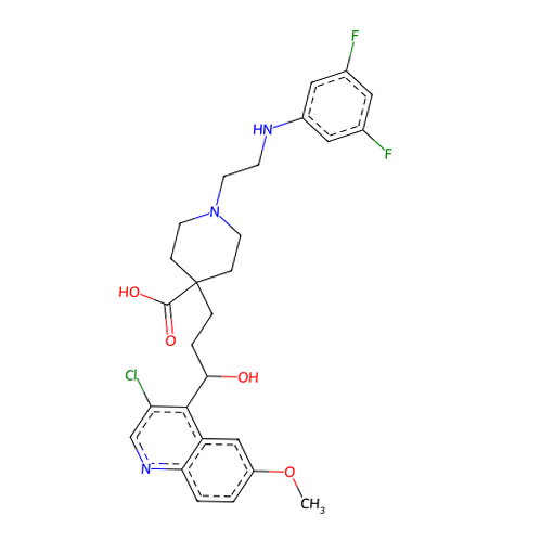 COc1ccc2ncc(Cl)c(C(O)CCC3(C(=O)O)CCN(CCNc4cc(F)cc(F)c4)CC3)c2c1